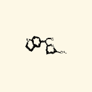 Cc1cccc(C(C=O)c2ccc3c(c2)CCO3)n1